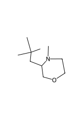 CN1CCOCC1CC(C)(C)C